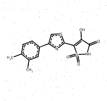 Cc1ccc(-c2csc(C3=C(O)C(=O)NS3(=O)=O)n2)cc1C